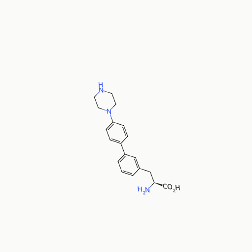 N[C@@H](Cc1cccc(-c2ccc(N3CCNCC3)cc2)c1)C(=O)O